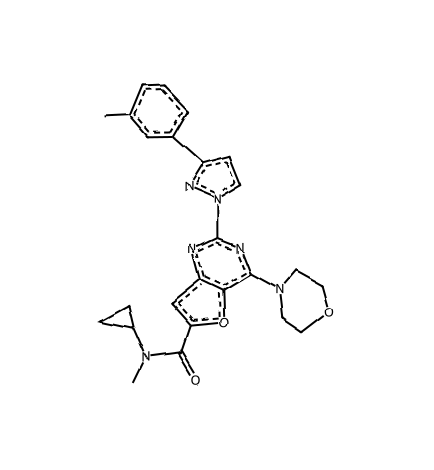 Cc1cccc(-c2ccn(-c3nc(N4CCOCC4)c4oc(C(=O)N(C)C5CC5)cc4n3)n2)c1